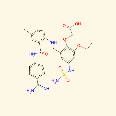 CCOc1cc(NS(N)(=O)=O)cc(CNc2ccc(C)cc2C(=O)Nc2ccc(C(=N)N)cc2)c1OCC(=O)O